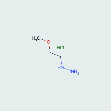 COCCNN.Cl